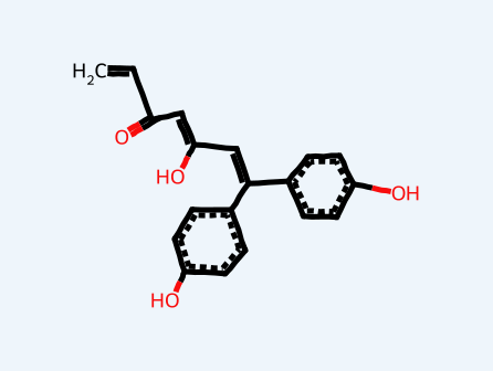 C=CC(=O)C=C(O)C=C(c1ccc(O)cc1)c1ccc(O)cc1